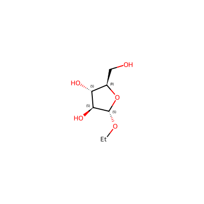 CCO[C@H]1O[C@H](CO)[C@@H](O)[C@@H]1O